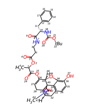 CC(OC(=O)CCNC(=O)[C@H](Cc1ccccc1)NC(=O)OC(C)(C)C)C(=O)OC1=CC[C@@]2(O)[C@H]3Cc4ccc(O)c5c4[C@@]2(CCN3C)[C@H]1O5